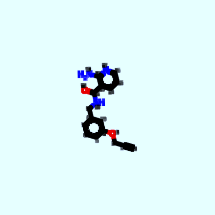 C#CCOc1cccc(CNC(=O)c2cccnc2N)c1